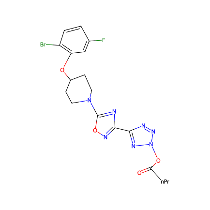 CCCC(=O)On1nnc(-c2noc(N3CCC(Oc4cc(F)ccc4Br)CC3)n2)n1